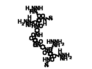 COc1cc(OC)c(C(=O)N[C@H]2CC[C@@H](NC(=O)c3cc(C(=O)NCCN(C)C)c(OCCNC(=N)N)cc3OCCNC(=N)N)CC2)cc1C(=O)N[C@H]1CC[C@@H](NC(=O)c2cc(C(=O)NCCN(C)C)c(OCCNC(=N)N)cc2OCCNC(=N)N)CC1